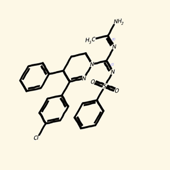 C/C(N)=N\C(=N\S(=O)(=O)c1ccccc1)N1CCC(c2ccccc2)C(c2ccc(Cl)cc2)=N1